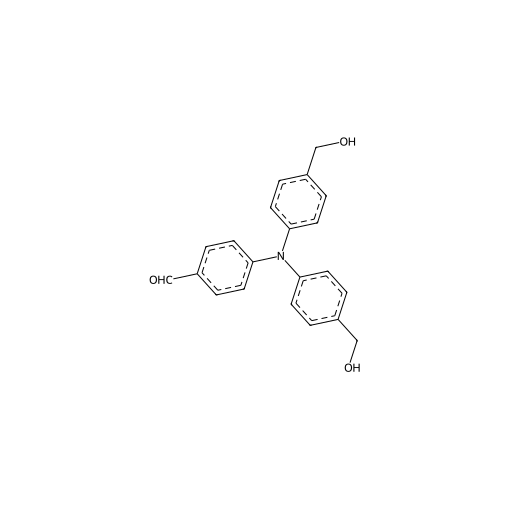 O=Cc1ccc(N(c2ccc(CO)cc2)c2ccc(CO)cc2)cc1